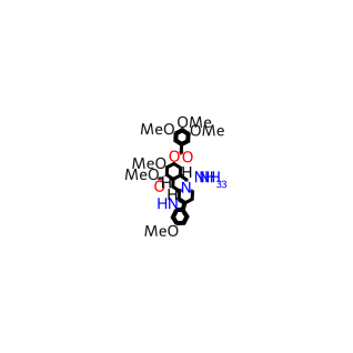 COC(=O)[C@H]1[C@H]2C[C@@H]3c4[nH]c5cc(OC)ccc5c4CCN3C[C@H]2C[C@@H](OC(=O)c2cc(OC)c(OC)c(OC)c2)[C@@H]1OC.N.N